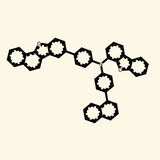 c1ccc2c(-c3ccc(N(c4ccc(-c5ccc6oc7c8ccccc8ccc7c6c5)cc4)c4cccc5c4oc4ccccc45)cc3)cccc2c1